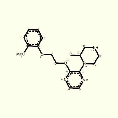 COc1ncccc1OCCOc1nccnc1N1CCNCC1C